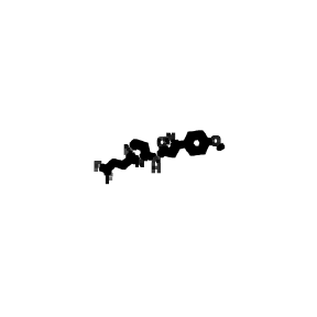 COc1ccc(-c2cc(Nc3ccnc(CCC(F)F)n3)on2)cc1